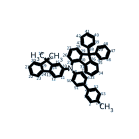 Cc1ccc(-c2ccc(N(c3ccc4c(c3)C(C)(C)c3ccccc3-4)c3cccc4c3-c3ccccc3C4(c3ccccc3)c3ccccc3)cc2)cc1